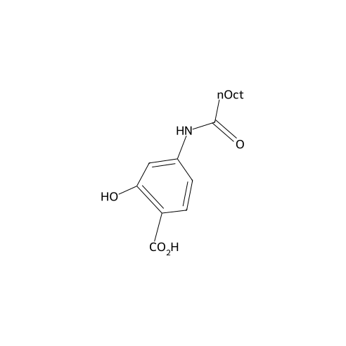 CCCCCCCCC(=O)Nc1ccc(C(=O)O)c(O)c1